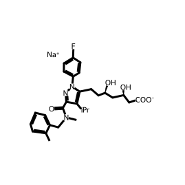 Cc1ccccc1CN(C)C(=O)c1nn(-c2ccc(F)cc2)c(CC[C@@H](O)C[C@@H](O)CC(=O)[O-])c1C(C)C.[Na+]